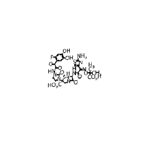 CC(C)(O/N=C(\C(=O)N[C@@H]1C(=O)N2C[C@@](C(=O)O)(N3CCN(NC(=O)C(=O)c4cc(O)c(O)cc4F)C3=O)S[C@H]12)c1csc(N)n1)C(=O)O